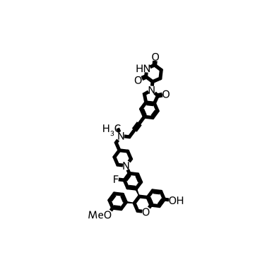 COc1cccc([C@@H]2COc3cc(O)ccc3[C@@H]2c2ccc(N3CCC(CN(C)CC#Cc4ccc5c(c4)CN(C4CCC(=O)NC4=O)C5=O)CC3)c(F)c2)c1